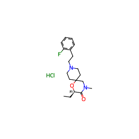 CC[C@H]1OC2(CCN(CCc3ccccc3F)CC2)CN(C)C1=O.Cl